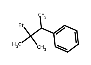 CCC(C)(C)C(c1ccccc1)C(F)(F)F